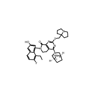 CCc1c(F)ccc2cc(O)cc(N3CCc4c(nc(SCC56CCCN5CCC6)nc4N4C[C@H]5CC[C@@H](C4)N5)C3=O)c12